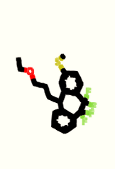 CCOCCCC1c2ccccc2C(F)(F)C(F)(F)c2ccc(SC)cc21